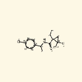 CCC1(C(=O)NC(C)c2ccc(Cl)cc2)CC1(Cl)Cl